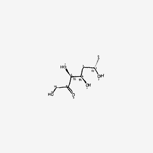 C[C@H](O)C[C@@H](O)[C@H](O)C(=O)CO